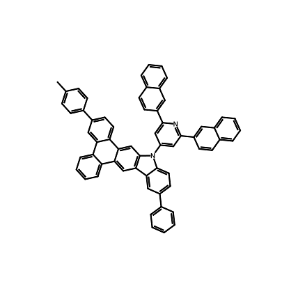 Cc1ccc(-c2ccc3c(c2)c2ccccc2c2cc4c5cc(-c6ccccc6)ccc5n(-c5cc(-c6ccc7ccccc7c6)nc(-c6ccc7ccccc7c6)c5)c4cc32)cc1